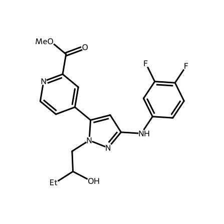 CCC(O)Cn1nc(Nc2ccc(F)c(F)c2)cc1-c1ccnc(C(=O)OC)c1